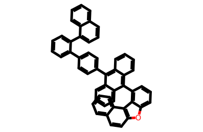 c1ccc(-c2cccc3ccccc23)c(-c2ccc(-c3c4ccccc4c(-c4cccc5oc6ccc7ccccc7c6c45)c4ccccc34)cc2)c1